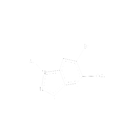 CC(=O)Oc1cc2cnn(C(C)=O)c2cc1Br